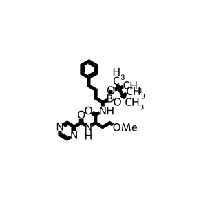 COCCC(NC(=O)c1cnccn1)C(=O)NC(CCCc1ccccc1)B1OC(C)(C)C(C)(C)O1